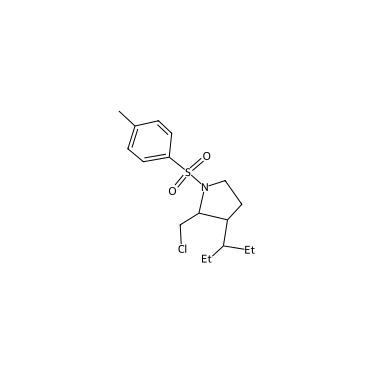 CCC(CC)C1CCN(S(=O)(=O)c2ccc(C)cc2)C1CCl